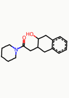 O=C(CC1Cc2ccccc2CC1O)N1CCCCC1